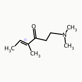 C/C=C(\C)C(=O)CCN(C)C